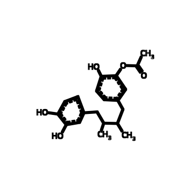 CC(=O)Oc1cc(CC(C)C(C)Cc2ccc(O)c(O)c2)ccc1O